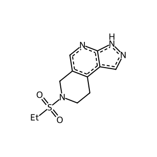 CCS(=O)(=O)N1CCc2c(cnc3[nH]ncc23)C1